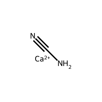 N#CN.[Ca+2]